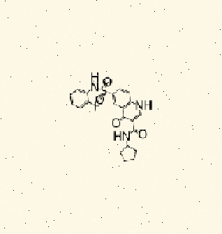 O=C(NC1CCCC1)c1c[nH]c2ccc(S(=O)(=O)Nc3ccccc3F)cc2c1=O